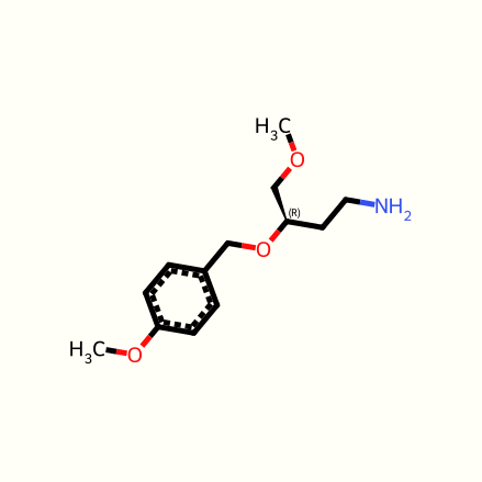 COC[C@@H](CCN)OCc1ccc(OC)cc1